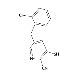 N#Cc1ncc(Cc2ccccc2Cl)cc1S